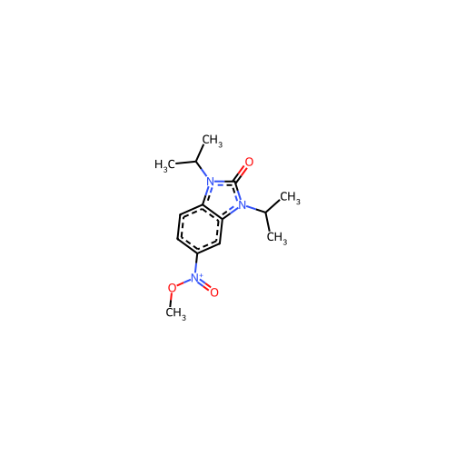 CO[N+](=O)c1ccc2c(c1)n(C(C)C)c(=O)n2C(C)C